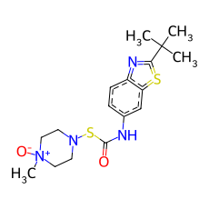 CC(C)(C)c1nc2ccc(NC(=O)SN3CC[N+](C)([O-])CC3)cc2s1